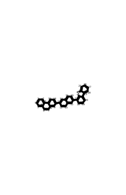 c1ccc2c(c1)ccc1cc(-c3ccc4cc(-c5cccc6c5sc5ccccc56)ccc4c3)ccc12